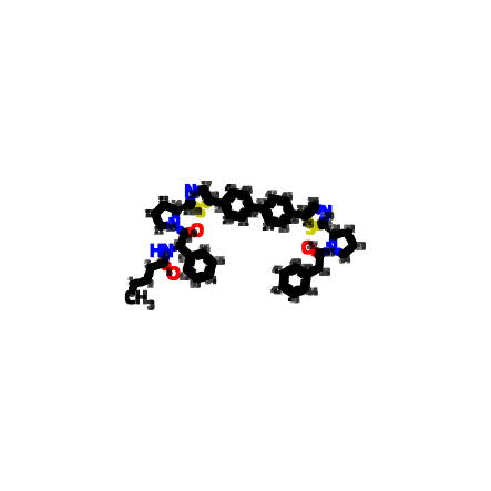 CCCCC(=O)N[C@@H](C(=O)N1CCC[C@H]1c1ncc(-c2ccc(-c3ccc(-c4cnc([C@@H]5CCCN5C(=O)Cc5ccccc5)s4)cc3)cc2)s1)c1ccccc1